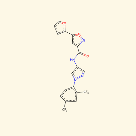 O=C(Nc1cnn(-c2ccc(C(F)(F)F)cc2C(F)(F)F)c1)c1cc(-c2ccco2)on1